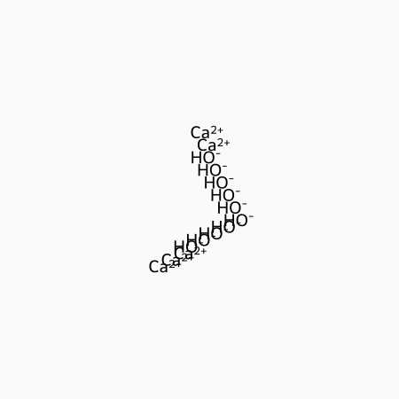 [Ca+2].[Ca+2].[Ca+2].[Ca+2].[Ca+2].[OH-].[OH-].[OH-].[OH-].[OH-].[OH-].[OH-].[OH-].[OH-].[OH-]